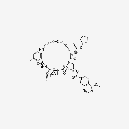 C=C[C@@H]1C[C@@]12NC(=O)[C@@H]1C[C@@H](OC(=O)N3CCc4c(ncnc4OC)C3)CN1C(=O)[C@@H](NC(=O)OC1CCCC1)CCCCCCCNc1ccc(F)cc1S(=O)(=O)NC2=O